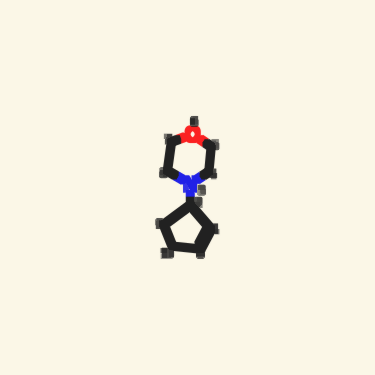 C1=CC(N2CCOCC2)CC1